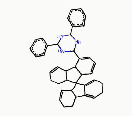 C1=CC2C(C(C3NC(c4ccccc4)NC(c4ccccc4)N3)=C1)C1C=CCCC1C21C2=CCCC=C2C2CCC=CC21